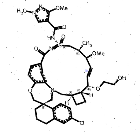 COc1nn(C)cc1C(=O)N[S@@]1(=O)=NC(=O)c2ccc3c(c2)N(C[C@@H]2CC[C@H]2[C@@H](OCCO)/C=C/C(OC)[C@H](C)C1)C[C@@]1(CCCc2cc(Cl)ccc21)CO3